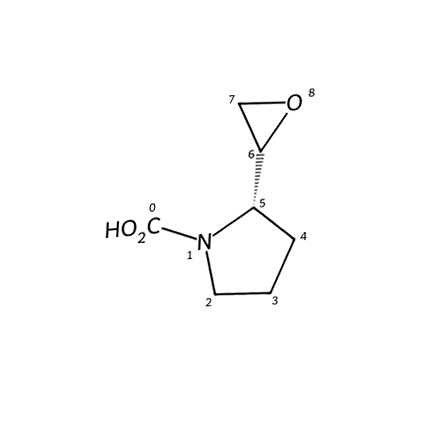 O=C(O)N1CCC[C@H]1C1CO1